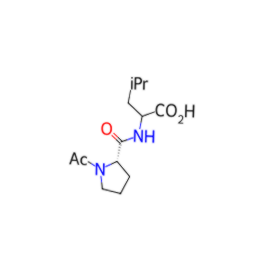 CC(=O)N1CCC[C@H]1C(=O)NC(CC(C)C)C(=O)O